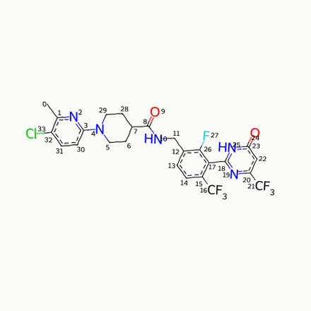 Cc1nc(N2CCC(C(=O)NCc3ccc(C(F)(F)F)c(-c4nc(C(F)(F)F)cc(=O)[nH]4)c3F)CC2)ccc1Cl